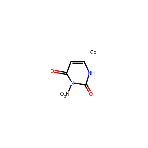 O=c1cc[nH]c(=O)n1[N+](=O)[O-].[Co]